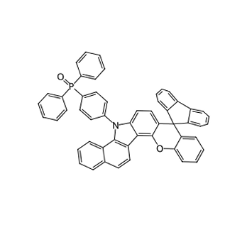 O=P(c1ccccc1)(c1ccccc1)c1ccc(-n2c3ccc4c(c3c3ccc5ccccc5c32)Oc2ccccc2C42c3ccccc3-c3ccccc32)cc1